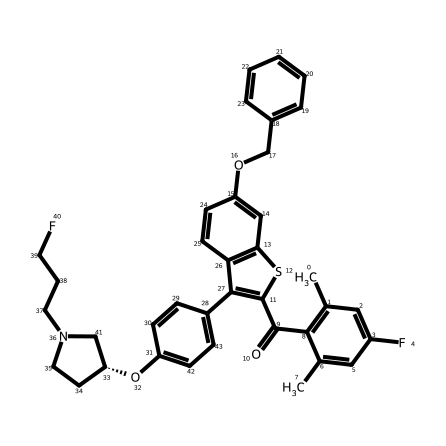 Cc1cc(F)cc(C)c1C(=O)c1sc2cc(OCc3ccccc3)ccc2c1-c1ccc(O[C@@H]2CCN(CCCF)C2)cc1